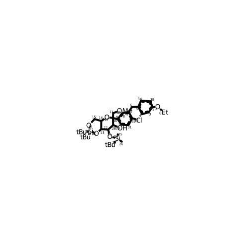 CCOc1ccc(Cc2cc(C3(COC)OC4CO[Si](C(C)(C)C)(C(C)(C)C)OC4C(O[Si](C)(C)C(C)(C)C)C3O)ccc2Cl)cc1